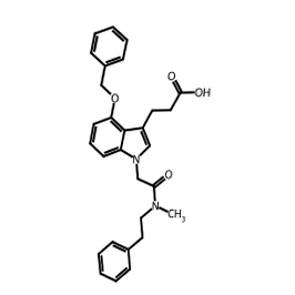 CN(CCc1ccccc1)C(=O)Cn1cc(CCC(=O)O)c2c(OCc3ccccc3)cccc21